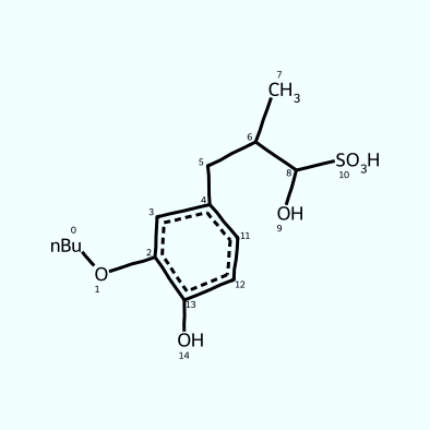 CCCCOc1cc(CC(C)C(O)S(=O)(=O)O)ccc1O